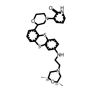 C[C@@H]1CN(CCNc2ccc3c(c2)Sc2cccc(C4CN(c5ccc[nH]c5=O)CCO4)c2S3)C[C@H](C)O1